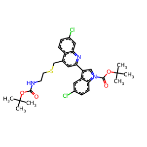 CC(C)(C)OC(=O)NCCSCc1cc(-c2cn(C(=O)OC(C)(C)C)c3ccc(Cl)cc23)nc2cc(Cl)ccc12